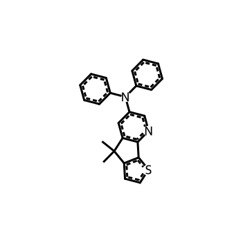 CC1(C)c2cc(N(c3ccccc3)c3ccccc3)cnc2-c2sccc21